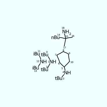 CC(C)(C)NC(C)(C)C.CC(C)(C)NC1CCCCC1.CCC(C)NC(C)CC.CCCCC(C)(C)N